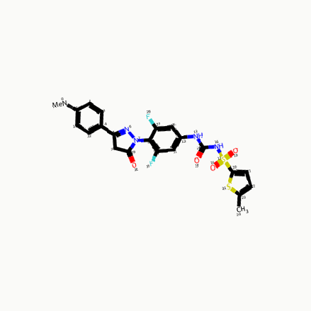 CNc1ccc(C2=NN(c3c(F)cc(NC(=O)NS(=O)(=O)c4ccc(C)s4)cc3F)C(=O)C2)cc1